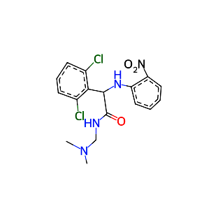 CN(C)CNC(=O)C(Nc1ccccc1[N+](=O)[O-])c1c(Cl)cccc1Cl